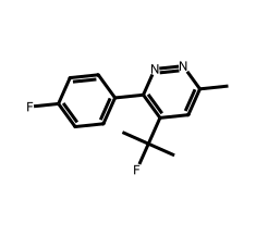 Cc1cc(C(C)(C)F)c(-c2ccc(F)cc2)nn1